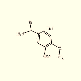 CCC(N)c1ccc(OC(F)(F)F)c(OC)c1.Cl